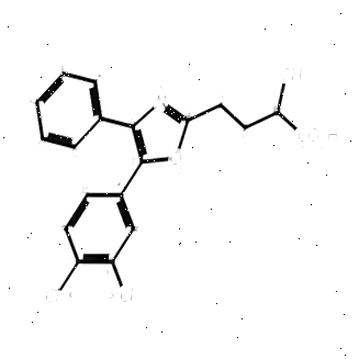 CC(CCc1nc(-c2ccccc2)c(-c2ccc(Cl)c(Cl)c2)o1)C(=O)O